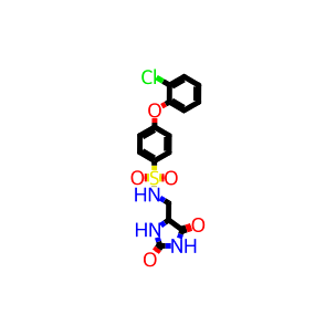 O=C1NC(=O)C(CNS(=O)(=O)c2ccc(Oc3ccccc3Cl)cc2)N1